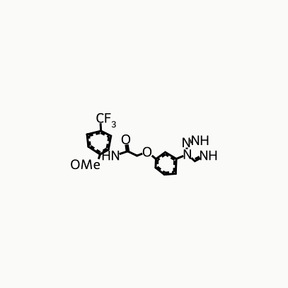 COc1ccc(C(F)(F)F)cc1NC(=O)COc1cccc(N(C=N)N=N)c1